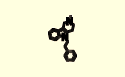 CN1CCc2c(c3ccccc3n2CCc2ccccc2)C1